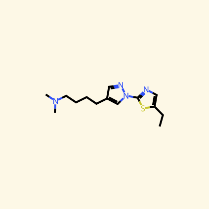 CCc1cnc(-n2cc(CCCCN(C)C)cn2)s1